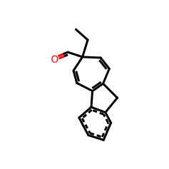 CCC1(C=O)C=CC2=C(C=C1)c1ccccc1C2